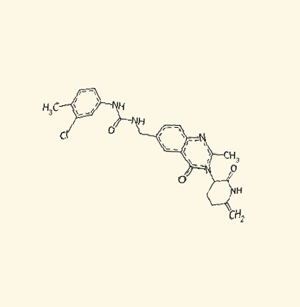 C=C1CCC(n2c(C)nc3ccc(CNC(=O)Nc4ccc(C)c(Cl)c4)cc3c2=O)C(=O)N1